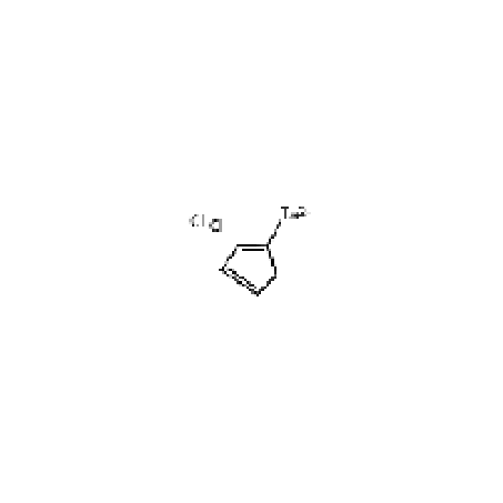 [Cl-].[Cl-].[Ta+2][C]1=CC=CC1